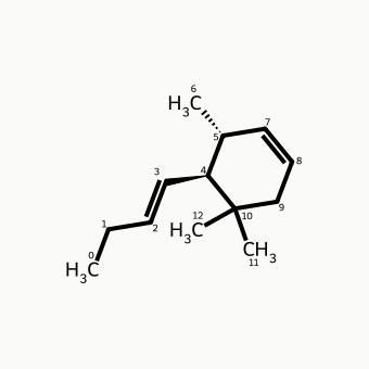 CCC=C[C@H]1[C@H](C)C=CCC1(C)C